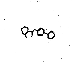 CC1CCCCN1C(=O)Cc1ccc(-c2cccnc2)cc1